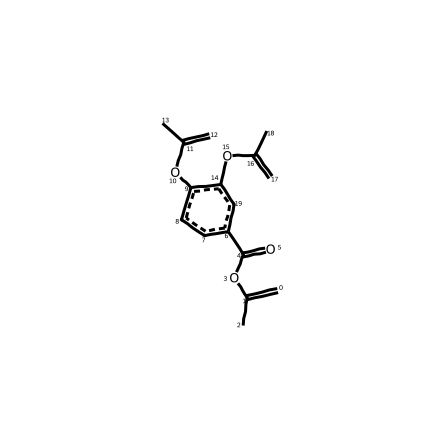 C=C(C)OC(=O)c1ccc(OC(=C)C)c(OC(=C)C)c1